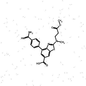 COC(=O)CCN(C)c1nc2c(-c3ccc(C(=N)N)cc3)cc(C(=O)O)cc2s1